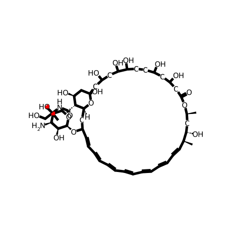 C[C@H]1C[C@H](O)[C@@H](C)/C=C/C=C/C=C/C=C/C=C/C=C/C=C/C(O[C@@H]2OC[C@@H](O)[C@H](N)[C@@H]2O)C[C@@H]2OC(O)(CC(O)CC(O)C(O)CCC(O)CC(O)CC(=O)O1)C[C@H](O)[C@H]2C(=O)NC(C)(C)CO